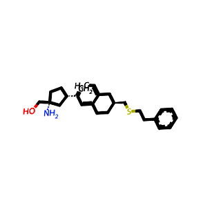 C=C(/C=C1/CC[C@H](CSCCc2ccccc2)C/C1=C/C)[C@H]1CC[C@](N)(CO)C1